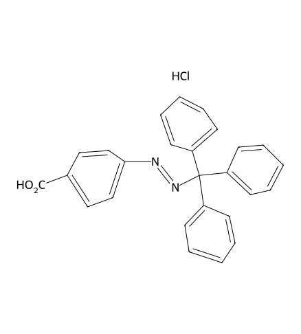 Cl.O=C(O)c1ccc(N=NC(c2ccccc2)(c2ccccc2)c2ccccc2)cc1